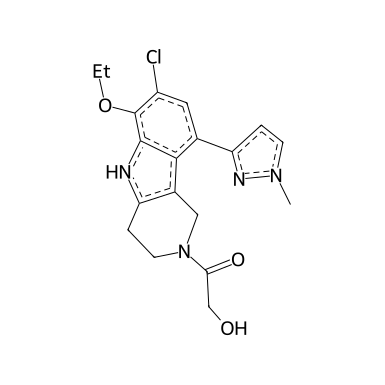 CCOc1c(Cl)cc(-c2ccn(C)n2)c2c3c([nH]c12)CCN(C(=O)CO)C3